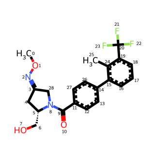 CO/N=C1/C[C@@H](CO)N(C(=O)c2ccc(-c3cccc(C(F)(F)F)c3C)cc2)C1